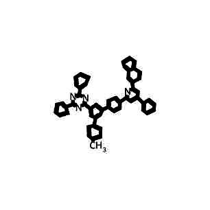 Cc1ccc(-c2cc(-c3ccc(-c4cc(-c5ccccc5)cc(-c5ccc6ccccc6c5)n4)cc3)cc(-c3nc(-c4ccccc4)nc(-c4ccccc4)n3)c2)cc1